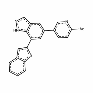 CC(=O)c1ccc(-c2cc(-c3cc4ccccc4s3)c3[nH]ncc3c2)cn1